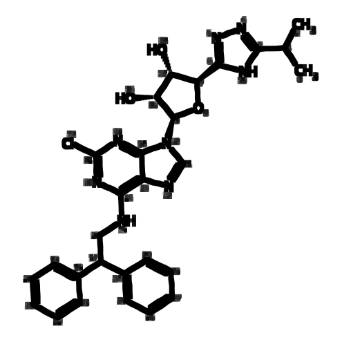 CC(C)c1nnc([C@H]2O[C@@H](n3cnc4c(NCC(c5ccccc5)c5ccccc5)nc(Cl)nc43)[C@H](O)[C@@H]2O)[nH]1